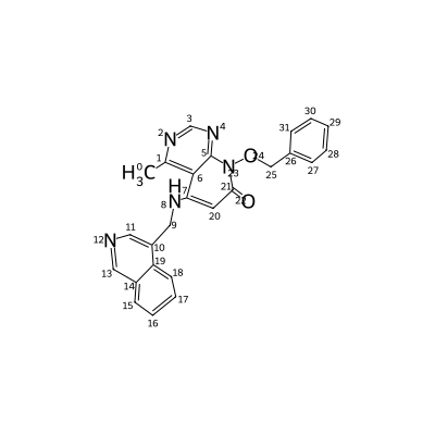 Cc1ncnc2c1c(NCc1cncc3ccccc13)cc(=O)n2OCc1ccccc1